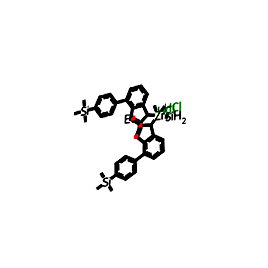 CCC1=Cc2c(-c3ccc([Si](C)(C)C)cc3)cccc2[CH]1[Zr]([CH3])([CH3])(=[SiH2])[CH]1C(C)=Cc2c(-c3ccc([Si](C)(C)C)cc3)cccc21.Cl.Cl